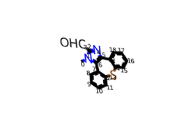 Cn1c(C=O)nc2c1-c1ccccc1Sc1ccccc1-2